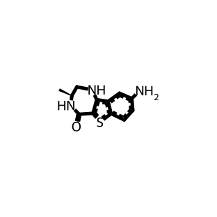 C[C@H]1CNc2c(sc3ccc(N)cc23)C(=O)N1